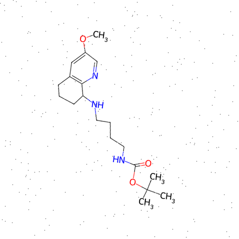 COc1cnc2c(c1)CCCC2NCCCCNC(=O)OC(C)(C)C